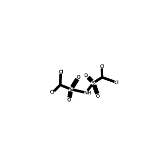 O=S(=O)(NS(=O)(=O)C(Cl)Cl)C(Cl)Cl